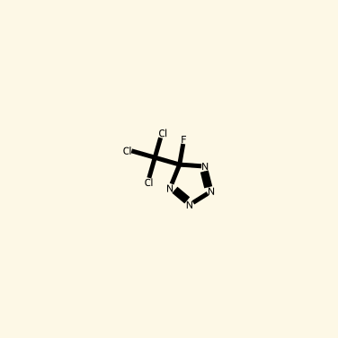 FC1(C(Cl)(Cl)Cl)N=NN=N1